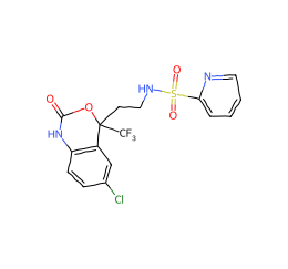 O=C1Nc2ccc(Cl)cc2C(CCNS(=O)(=O)c2ccccn2)(C(F)(F)F)O1